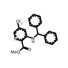 COC(=O)c1ncc(C(F)(F)F)cc1NC(c1ccccc1)c1ccccc1